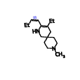 CC/C=C\C1=C(CC)CC2(CCN(C)CC2)CN1